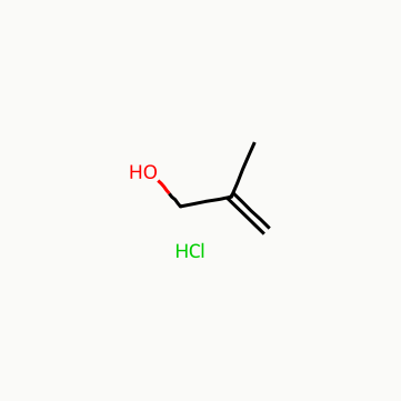 C=C(C)CO.Cl